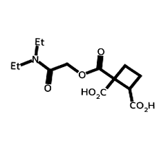 CCN(CC)C(=O)COC(=O)C1(C(=O)O)CCC1C(=O)O